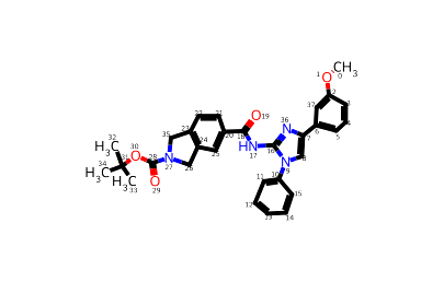 COc1cccc(-c2cn(-c3ccccc3)c(NC(=O)c3ccc4c(c3)CN(C(=O)OC(C)(C)C)C4)n2)c1